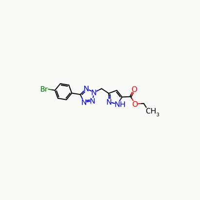 CCOC(=O)c1cc(Cn2nnc(-c3ccc(Br)cc3)n2)n[nH]1